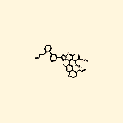 C=CCCc1ccccc1-c1cccc(-c2cc3nc(C)c(C(OC(C)(C)C)C(=O)OC)c(-c4cc5c(cc4F)OCCN5CC=C)n3n2)c1